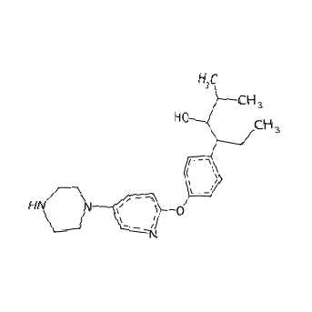 CCC(c1ccc(Oc2ccc(N3CCNCC3)cn2)cc1)C(O)C(C)C